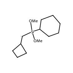 CO[Si]([CH]C1CCC1)(OC)C1CCCCC1